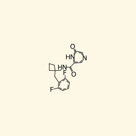 O=C(NCC1(Cc2c(F)cccc2F)CCC1)c1cncc(=O)[nH]1